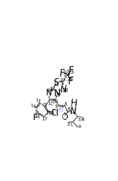 CC(C)C(C)NC(=O)/C=C/c1c(-c2ccc(F)cc2Cl)nc2sc(C(F)(F)F)nn12